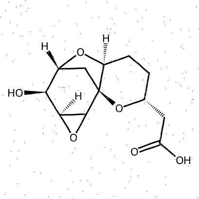 O=C(O)C[C@H]1CC[C@@H]2O[C@@H]3C[C@@]2(O1)C1O[C@H]1[C@H]3O